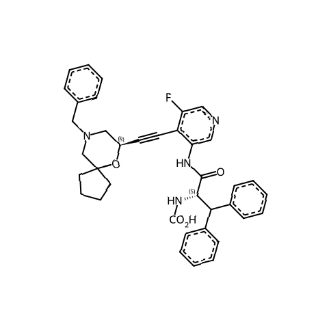 O=C(O)N[C@H](C(=O)Nc1cncc(F)c1C#C[C@@H]1CN(Cc2ccccc2)CC2(CCCC2)O1)C(c1ccccc1)c1ccccc1